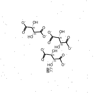 O=C([O-])[C@H](O)[C@@H](O)C(=O)[O-].O=C([O-])[C@H](O)[C@@H](O)C(=O)[O-].O=C([O-])[C@H](O)[C@@H](O)C(=O)[O-].[Bi+3].[Bi+3]